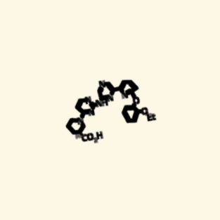 CCOc1ccccc1Oc1cccc(-c2cncc(Nc3nccc(N4CCC[C@@H](C(=O)O)C4)n3)n2)n1